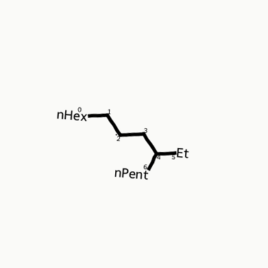 CCCCCCC[CH]CC(CC)CCCCC